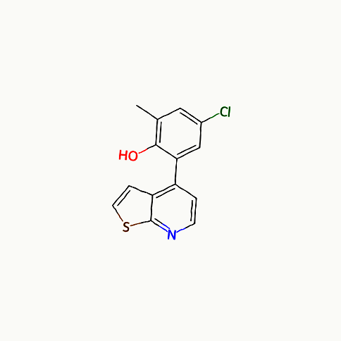 Cc1cc(Cl)cc(-c2ccnc3sccc23)c1O